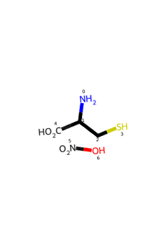 NC(CS)C(=O)O.O=[N+]([O-])O